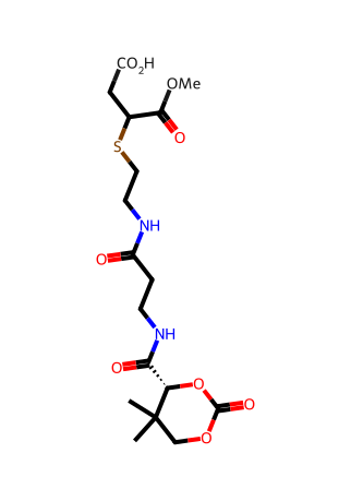 COC(=O)C(CC(=O)O)SCCNC(=O)CCNC(=O)[C@@H]1OC(=O)OCC1(C)C